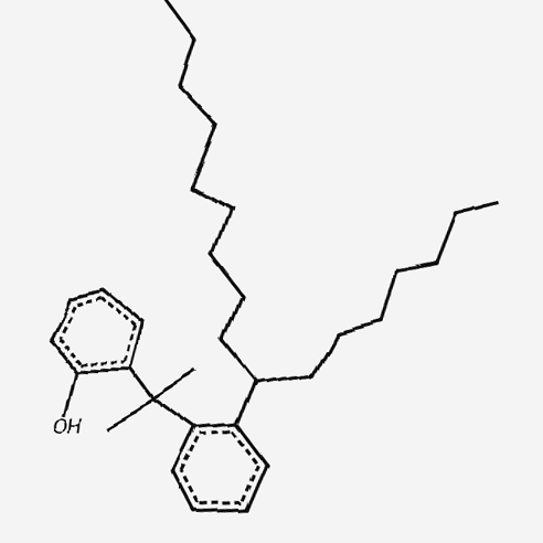 CCCCCCCCCC(CCCCCCC)c1ccccc1C(C)(C)c1ccccc1O